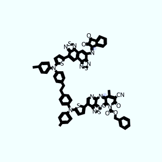 CC1=C(C#N)C(=O)N(C(=O)OCc2ccccc2)C(=O)/C1=N\c1ncc(-c2ccc(N(c3ccc(C)cc3)c3ccc(CCc4ccc(N(c5ccc(C)cc5)c5ccc(-c6cc7c(cc(/N=c8\c(=O)c(=O)c9ccccc89)c8nsnc87)c7nsnc67)s5)cc4)cc3)s2)c2nsnc12